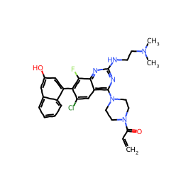 C=CC(=O)N1CCN(c2nc(NCCN(C)C)nc3c(F)c(-c4cc(O)cc5ccccc45)c(Cl)cc23)CC1